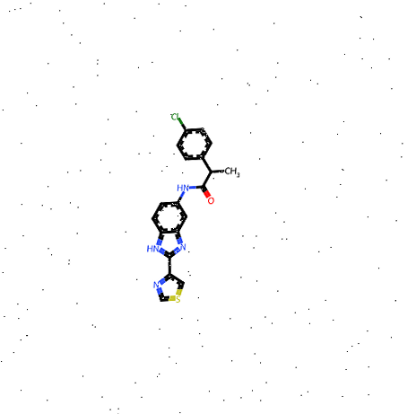 CC(C(=O)Nc1ccc2[nH]c(-c3cscn3)nc2c1)c1ccc(Cl)cc1